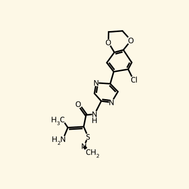 C=NS/C(C(=O)Nc1cnc(-c2cc3c(cc2Cl)OCCO3)cn1)=C(/C)N